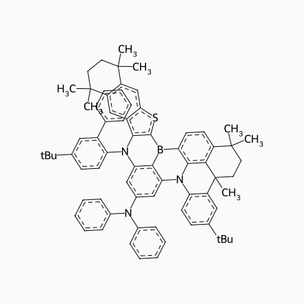 CC(C)(C)c1ccc(N2c3cc(N(c4ccccc4)c4ccccc4)cc4c3B(c3ccc5c6c3N4c3ccc(C(C)(C)C)cc3C6(C)CCC5(C)C)c3sc4cc5c(cc4c32)C(C)(C)CCC5(C)C)c(-c2ccccc2)c1